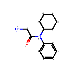 NCC(=O)N(c1ccccc1)C1CCCCC1